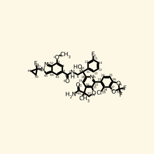 COc1cc(C(=O)NC[C@@](O)(c2cccc(F)c2)c2cc3c(c(-c4ccc5c(c4Cl)OC(F)(F)O5)n2)OC[C@]3(C)C(N)=O)cc2cn(C3(F)CC3)nc12